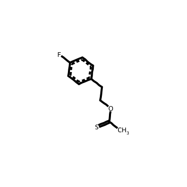 CC(=S)OCCc1ccc(F)cc1